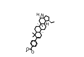 CC[C@@H]1CC[C@]2(N)CC[C@]3(C)[C@H](CCC4[C@@]5(C)CC=C(c6ccc(C(=O)OC)cc6)C(C)(C)C5CC[C@]43C)C12